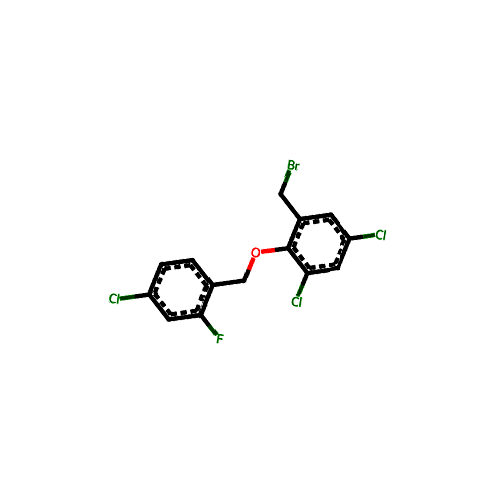 Fc1cc(Cl)ccc1COc1c(Cl)cc(Cl)cc1CBr